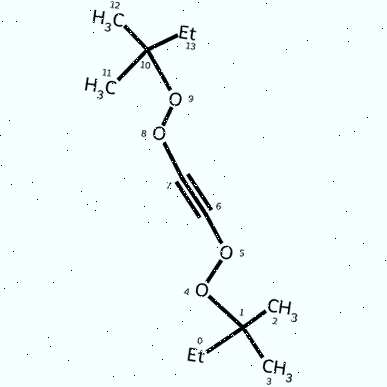 CCC(C)(C)OOC#COOC(C)(C)CC